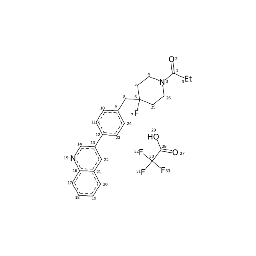 CCC(=O)N1CCC(F)(Cc2ccc(-c3cnc4ccccc4c3)cc2)CC1.O=C(O)C(F)(F)F